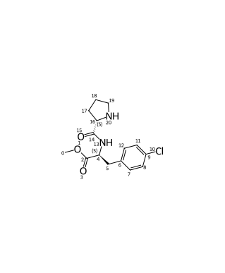 COC(=O)[C@H](Cc1ccc(Cl)cc1)NC(=O)[C@@H]1CCCN1